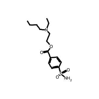 CCCCN(CC)CCOC(=O)c1ccc(S(N)(=O)=O)cc1